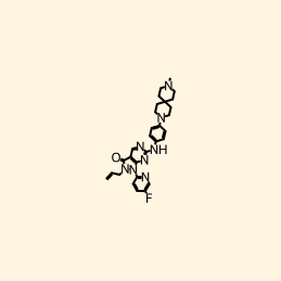 C=CCn1c(=O)c2cnc(Nc3ccc(N4CCC5(CCN(C)CC5)CC4)cc3)nc2n1-c1ccc(F)cn1